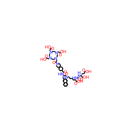 O=C(O)CC[C@H](NC(=O)NC(CCCCNC(=O)[C@H](Cc1ccc2ccccc2c1)NC(=O)C1CCC2(CC1)CCN(C(=O)CN1CCN(CC(=O)O)CCN(CC(=O)O)CCN(CC(=O)O)CC1)CC2)C(=O)O)C(=O)O